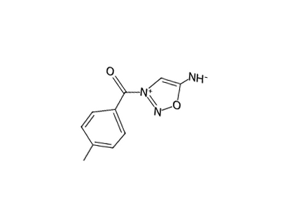 Cc1ccc(C(=O)[n+]2cc([NH-])on2)cc1